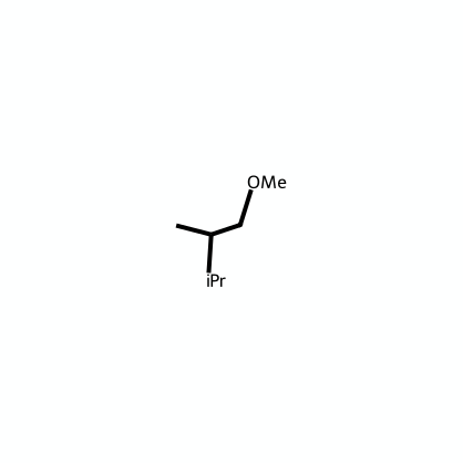 [CH2]OCC(C)C(C)C